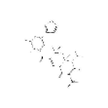 CC(=O)C1=C(O)C(C(C)C)[C@@]2(C)C[C@@]3(C)Cc4c(C5=CCC=C5)cc(C)c(O)c4C(=O)C3=C(O)[C@@]2(O)C1=O